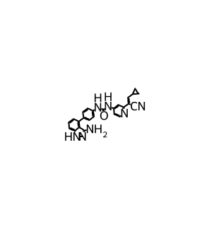 N#CC(=CC1CC1)c1cc(NC(=O)Nc2ccc(-c3cccc4[nH]nc(N)c34)cc2)ccn1